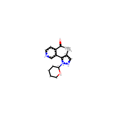 COC(=O)c1ccncc1-c1c(C)cnn1C1CCCCO1